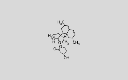 CCC(CC)(C(=O)O)[C@H]1C[C@@H](C)C=C2C=C[C@H](C)[C@H](CC[C@@H]3C[C@@H](O)CC(=O)O3)[C@@H]21